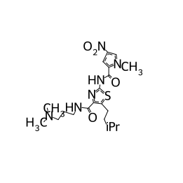 CC(C)CCc1sc(NC(=O)c2cc([N+](=O)[O-])cn2C)nc1C(=O)NCCCN(C)C